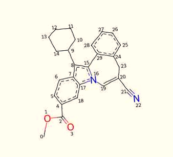 COC(=O)c1ccc2c(C3CCCCC3)c3n(c2c1)C=C(C#N)Cc1ccccc1-3